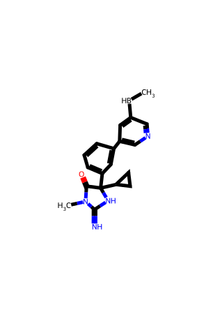 CBc1cncc(-c2cccc(C3(C4CC4)NC(=N)N(C)C3=O)c2)c1